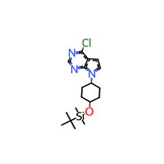 CC(C)(C)[Si](C)(C)O[C@H]1CC[C@@H](n2ccc3c(Cl)ncnc32)CC1